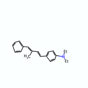 CCN(CC)c1ccc(/C=C/C(C)=C/c2ccccc2)cc1